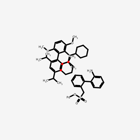 COc1ccc(OC)c(P(C2CCCCC2)C2CCCCC2)c1-c1c(C(C)C)cc(C(C)C)cc1C(C)C.Nc1ccccc1-c1ccccc1CS(=O)(=O)[O][Pd]